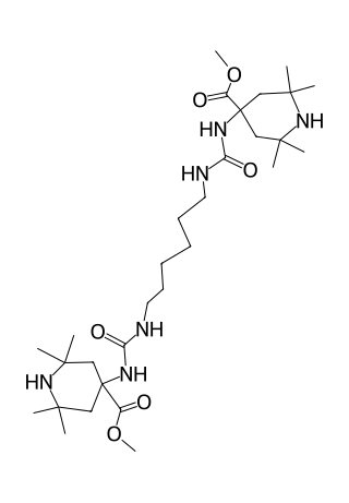 COC(=O)C1(NC(=O)NCCCCCCNC(=O)NC2(C(=O)OC)CC(C)(C)NC(C)(C)C2)CC(C)(C)NC(C)(C)C1